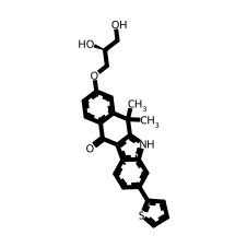 CC1(C)c2cc(OC[C@@H](O)CO)ccc2C(=O)c2c1[nH]c1cc(-c3cccs3)ccc21